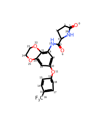 O=C1CCC(C(=O)Nc2cc(Oc3ccc(C(F)(F)F)cc3)cc3c2OCCO3)N1